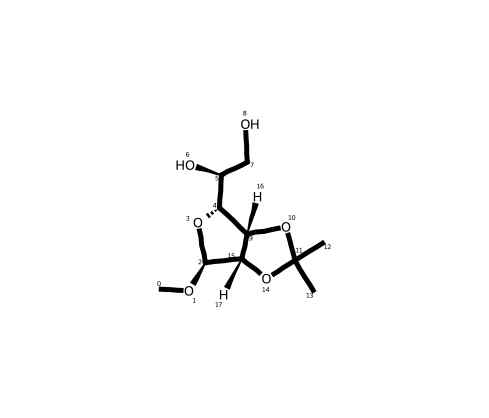 CO[C@H]1O[C@H]([C@@H](O)CO)[C@@H]2OC(C)(C)O[C@H]12